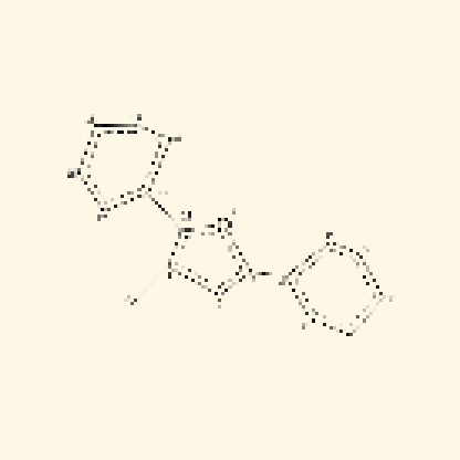 Cc1cc(-c2ccccc2)oc1-c1ccccc1